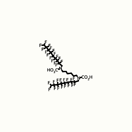 O=C(O)N(CCCCCCN(CC(F)(F)C(F)(F)C(F)(F)C(F)(F)C(F)(F)C(F)(F)C(F)(F)C(F)F)C(=O)O)CC(F)(F)C(F)(F)C(F)(F)C(F)(F)C(F)(F)C(F)(F)C(F)(F)C(F)F